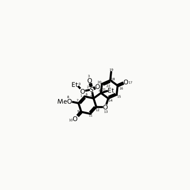 CCOS(=O)(=O)C12C=C(OC)C(=O)C=C1OC1=CC(=O)C(C)=CC12CC